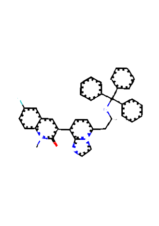 Cn1c(=O)c(-c2ccc(C[C@H](NC(c3ccccc3)(c3ccccc3)c3ccccc3)C(=O)O)n3ccnc23)cc2cc(F)ccc21